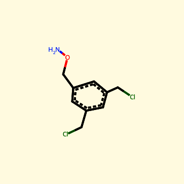 NOCc1cc(CCl)cc(CCl)c1